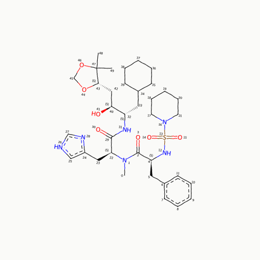 CN(C(=O)[C@H](Cc1ccccc1)NS(=O)(=O)N1CCCCC1)[C@@H](Cc1c[nH]cn1)C(=O)N[C@@H](CC1CCCCC1)[C@@H](O)C[C@@H]1OCOC1(C)C